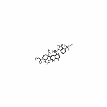 Cc1nc2ncnc(N[C@H](C)c3cccc(C(F)(F)C(C)C)c3F)c2cc1C1(O)CCN(C(=O)CF)CC1